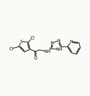 O=C(CNc1nnc(-c2ccccn2)[nH]1)c1cc(Cl)sc1Cl